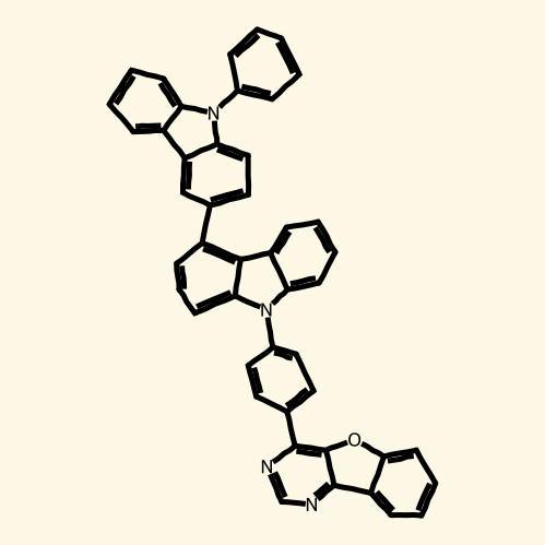 c1ccc(-n2c3ccccc3c3cc(-c4cccc5c4c4ccccc4n5-c4ccc(-c5ncnc6c5oc5ccccc56)cc4)ccc32)cc1